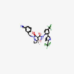 C[C@]12CCCN1N(Cc1cccc(C#N)c1)C(=O)C(C(=O)Nc1ccc(C(F)(F)F)cc1-c1ccc(C(F)(F)F)nc1)=C2O